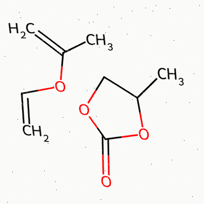 C=COC(=C)C.CC1COC(=O)O1